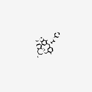 CC[C@H]1Cc2ncccc2S(=O)(=O)N(Cc2cc([C@@H](c3ccc4c(nnn4CC)c3C)C(C)(C)C(=O)Nc3cncnc3)ccc2C)C1